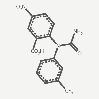 NC(=O)N(c1cccc(C(F)(F)F)c1)c1ccc([N+](=O)[O-])cc1C(=O)O